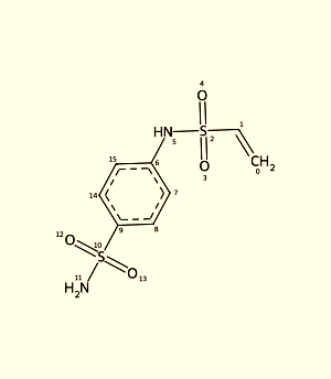 C=CS(=O)(=O)Nc1ccc(S(N)(=O)=O)cc1